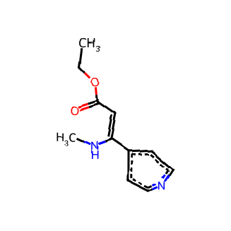 CCOC(=O)C=C(NC)c1ccncc1